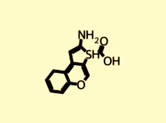 NC1=CC2=C3CC=CC=C3OC=C2[SH]1C(=O)O